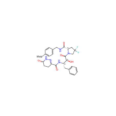 CNc1ccc(CNC(=O)[C@@H]2CC(F)(F)CN2C(=O)[C@@H](O)[C@H](Cc2ccccc2)NC(=O)C2=NNC(=O)CC2)cc1